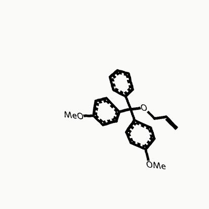 C=CCOC(c1ccccc1)(c1ccc(OC)cc1)c1ccc(OC)cc1